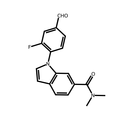 CN(C)C(=O)c1ccc2ccn(-c3ccc(C=O)cc3F)c2c1